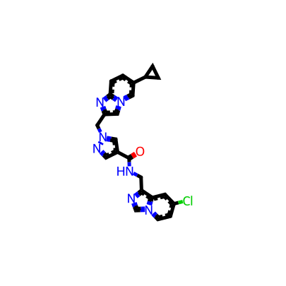 O=C(NCc1ncn2ccc(Cl)cc12)c1cnn(Cc2cn3cc(C4CC4)ccc3n2)c1